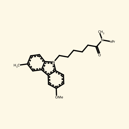 CCCN(C)C(=O)CCCCCn1c2ccc(C)cc2c2cc(OC)ccc21